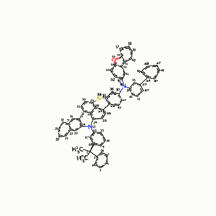 CC1(C)c2ccccc2-c2ccc(N(c3ccc4ccccc4c3)c3ccc4c5c(cccc35)Sc3cc(N(c5cccc(-c6ccccc6)c5)c5ccc6oc7ccccc7c6c5)ccc3-4)cc21